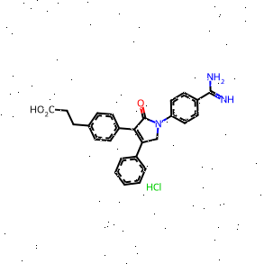 Cl.N=C(N)c1ccc(N2CC(c3ccccc3)=C(c3ccc(CCC(=O)O)cc3)C2=O)cc1